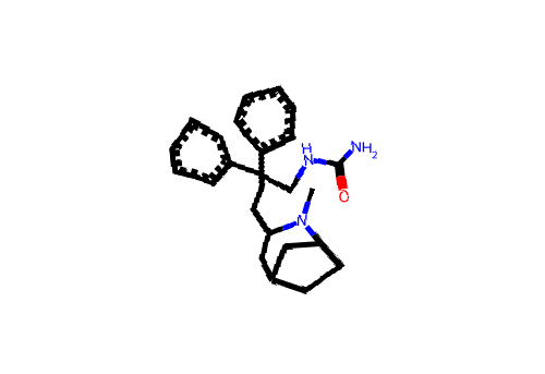 CN1C2CCC(C2)CC1CC(CNC(N)=O)(c1ccccc1)c1ccccc1